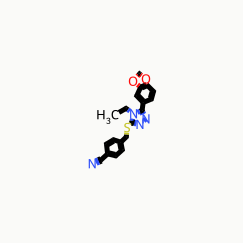 CCn1c(SCc2ccc(C#N)cc2)nnc1-c1ccc2c(c1)OCO2